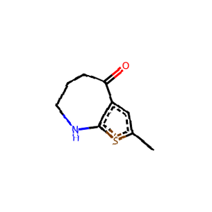 Cc1cc2c(s1)NCCCC2=O